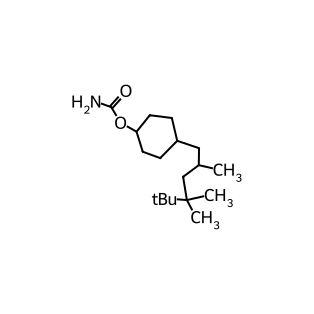 CC(CC1CCC(OC(N)=O)CC1)CC(C)(C)C(C)(C)C